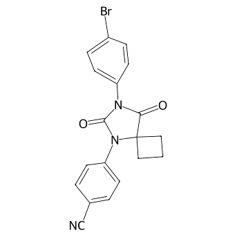 N#Cc1ccc(N2C(=O)N(c3ccc(Br)cc3)C(=O)C23CCC3)cc1